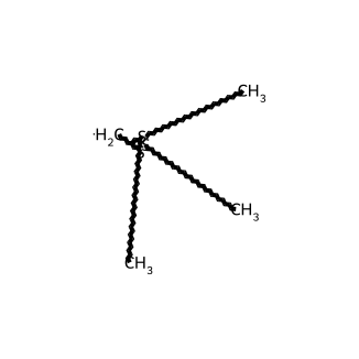 [CH2]CCCc1cc(SCCCCCCCCCCCCCCCCCCCCCCCCCCCC)c(SCCCCCCCCCCCCCCCCCCCCCCCCCCCC)c(SCCCCCCCCCCCCCCCCCCCCCCCCCCCC)c1